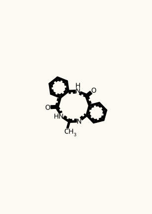 Cc1nc2ccccc2c(=O)[nH]c2ccccc2c(=O)[nH]1